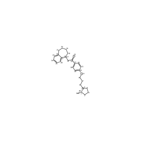 C[C@@H]1CCCN1CCCOc1ccc(C(=O)CN2CCCCc3ccccc32)cc1